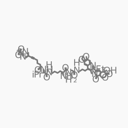 CC[C@@]1(O)C(=O)OCc2c1cc1n(c2=O)Cc2c-1nc1cc3c(cc1c2CCCNC(=O)CNC(=O)C(N)CCCCNC(=O)C(NC(=O)CCCC#Cc1cnc(S(C)(=O)=O)nc1)C(C)C)OCO3